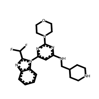 FC(F)c1nc2ccccc2n1-c1cc(NCC2CCNCC2)nc(N2CCOCC2)n1